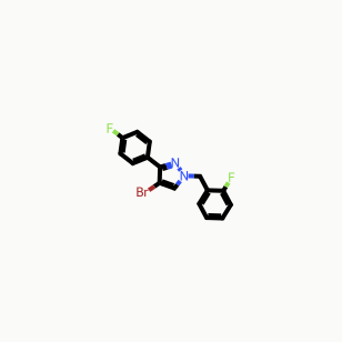 Fc1ccc(-c2nn(Cc3ccccc3F)cc2Br)cc1